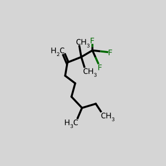 C=C(CCCC(C)CC)C(C)(C)C(F)(F)F